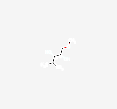 COC[C@H](O)[C@@H](O)C(C)C